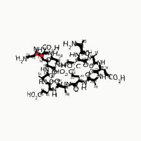 C[C@H](N)C(=O)N[C@@H](CCC(=O)O)C(=O)N[C@@H](C)C(=O)N[C@@H](CCC(=O)O)C(=O)N[C@@H](C)C(=O)N[C@@H](CCC(=O)O)C(=O)N[C@@H](C)C(=O)N[C@@H](CCC(=O)O)C(=O)N[C@@H](C)C(=O)N[C@@H](CCCCN)C(=O)N[C@@H](C)C(=O)N[C@@H](CCCCN)C(=O)O